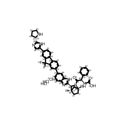 Cl.Cl.Cl.O=C(O)N[C@@H](C(=O)N1[C@@H]2CC[C@H](C2)[C@H]1c1nc2ccc(-c3ccc4c(c3)C(F)(F)c3cc(-c5cnc([C@@H]6CCCN6)[nH]5)ccc3-4)cc2[nH]1)c1ccccc1